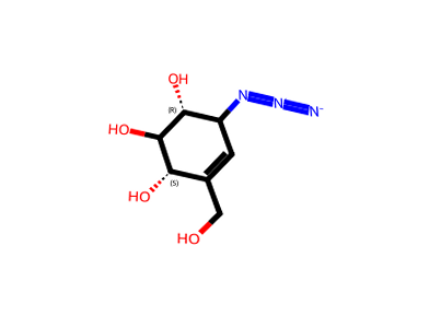 [N-]=[N+]=NC1C=C(CO)[C@H](O)C(O)[C@@H]1O